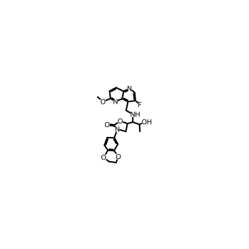 COc1ccc2ncc(F)c(CNC(C(C)O)C3CN(c4ccc5c(c4)OCCO5)C(=O)O3)c2n1